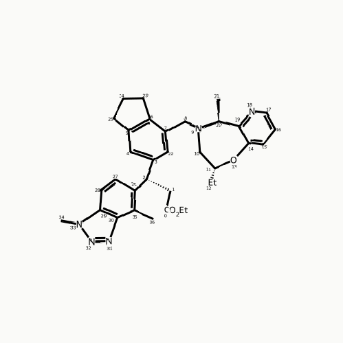 CCOC(=O)C[C@@H](c1cc2c(c(CN3C[C@@H](CC)Oc4cccnc4[C@@H]3C)c1)CCC2)c1ccc2c(nnn2C)c1C